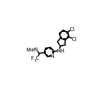 CNC(c1ccc(NC2Cc3ccc(Cl)c(Cl)c3C2)nc1)C(F)(F)F